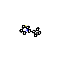 c1ccc2c(c1)-c1ccccc1[Si]21c2ccccc2-c2cc(-c3ccc4c(c3)c3ccc5sc6cccc7c8ccccc8c8ccccc8n4c3c5c67)ccc21